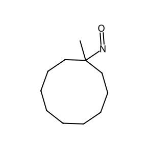 CC1(N=O)CCCCCCCCC1